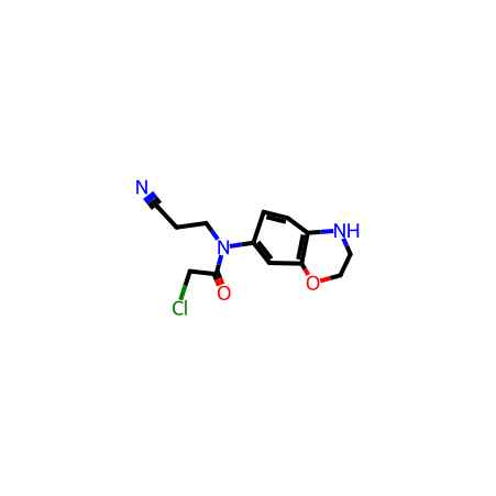 N#CCCN(C(=O)CCl)c1ccc2c(c1)OCCN2